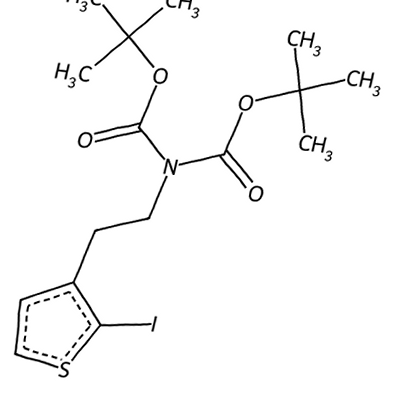 CC(C)(C)OC(=O)N(CCc1ccsc1I)C(=O)OC(C)(C)C